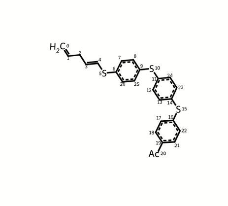 C=CC/C=C/Sc1ccc(Sc2ccc(Sc3ccc(C(C)=O)cc3)cc2)cc1